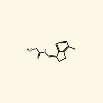 CCC(=O)N/N=C1/CCc2c(F)cccc21